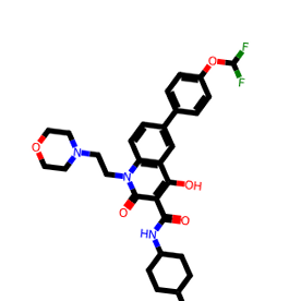 CC1CCC(NC(=O)c2c(O)c3cc(-c4ccc(OC(F)F)cc4)ccc3n(CCN3CCOCC3)c2=O)CC1